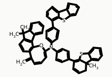 C=C1/C=C\C=C(\N(c2ccc(C3=C4Sc5ccccc5C4(C)CC=C3)cc2)c2ccc(-c3cccc4c3sc3ccccc34)cc2)Oc2c1ccc1c2-c2ccccc2C1(C)C